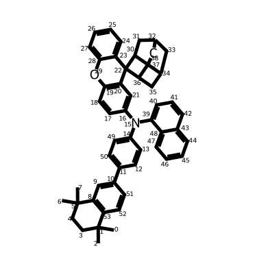 CC1(C)CCC(C)(C)c2cc(-c3ccc(N(c4ccc5c(c4)C4(c6ccccc6O5)C5CC6CC7CC4C75C6)c4cccc5ccccc45)cc3)ccc21